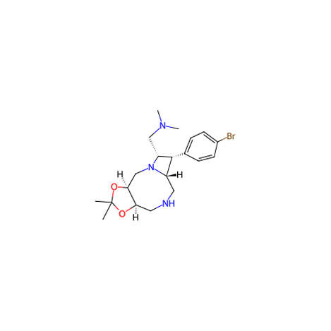 CN(C)C[C@@H]1[C@H](c2ccc(Br)cc2)[C@@H]2CNC[C@H]3OC(C)(C)O[C@H]3CN12